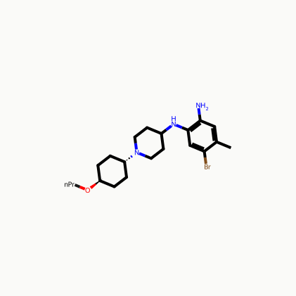 CCCO[C@H]1CC[C@H](N2CCC(Nc3cc(Br)c(C)cc3N)CC2)CC1